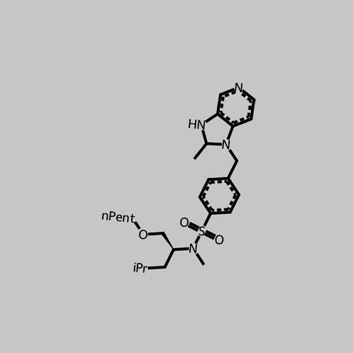 CCCCCOC[C@H](CC(C)C)N(C)S(=O)(=O)c1ccc(CN2c3ccncc3NC2C)cc1